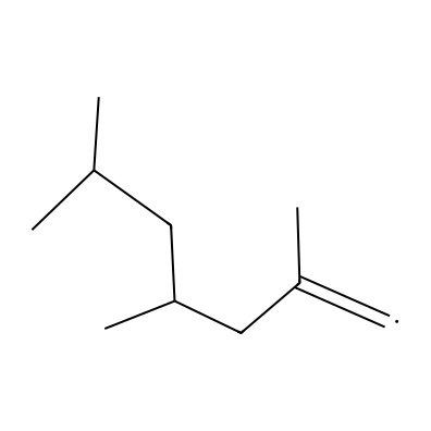 [CH]=C(C)CC(C)CC(C)C